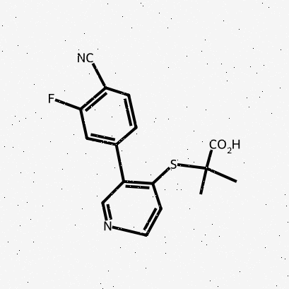 CC(C)(Sc1ccncc1-c1ccc(C#N)c(F)c1)C(=O)O